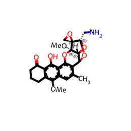 COc1c2c(c(O)c3c4c(c(C)cc13)C1O[C@]3(CN)O[C@H]1[C@@](OC)(O4)[C@@]31CO1)C(=O)CCC2